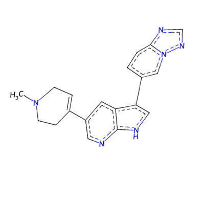 CN1CC=C(c2cnc3[nH]cc(-c4ccc5ncnn5c4)c3c2)CC1